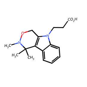 CN1OCc2c(c3ccccc3n2CCC(=O)O)C1(C)C